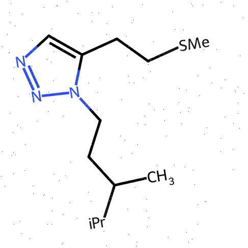 CSCCc1cnnn1CCC(C)C(C)C